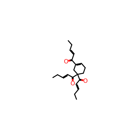 CCC=CC(=O)C1=CCCC(C(=O)C=CCC)(C(=O)C=CCC)C1